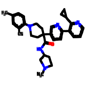 CN1CC[C@H](NC(=O)C2(c3ccc(-c4cccnc4C4CC4)nc3)CCN(c3ccc(C(F)(F)F)cc3C#N)CC2)C1